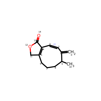 C=C1/C=C\C2=C(CCCC1C)COC2=O